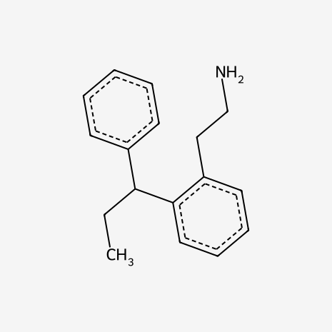 CCC(c1ccccc1)c1ccccc1CCN